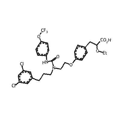 CCOC(Cc1ccc(OCCN(CCCc2cc(Cl)cc(Cl)c2)C(=O)Nc2ccc(OC(F)(F)F)cc2)cc1)C(=O)O